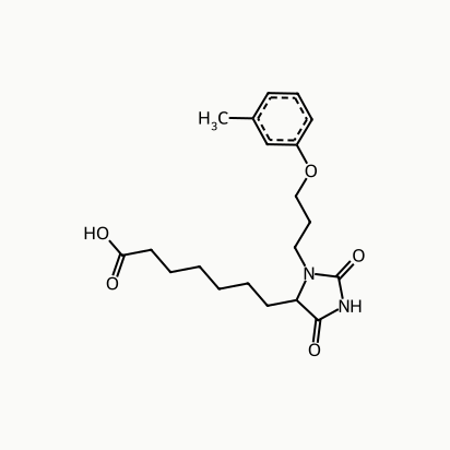 Cc1cccc(OCCCN2C(=O)NC(=O)C2CCCCCCC(=O)O)c1